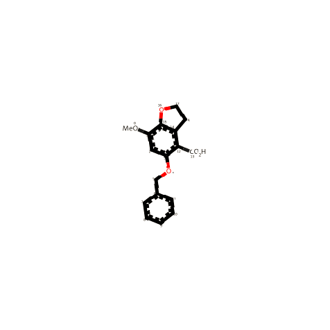 COc1cc(OCc2ccccc2)c(C(=O)O)c2c1OCC2